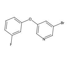 Fc1cccc(Oc2cncc(Br)c2)c1